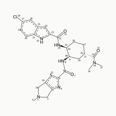 CN1Cc2nc(C(=O)N[C@@H]3C[C@@H](C(=O)N(C)C)CC[C@@H]3NC(=O)c3cc4cc(Cl)ccc4[nH]3)sc2C1